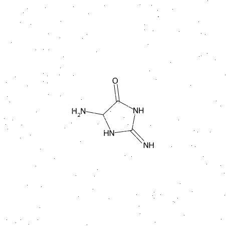 N=C1NC(=O)C(N)N1